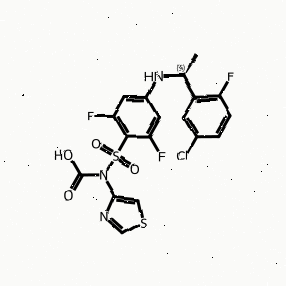 C[C@H](Nc1cc(F)c(S(=O)(=O)N(C(=O)O)c2cscn2)c(F)c1)c1cc(Cl)ccc1F